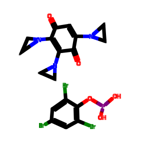 O=C1C=C(N2CC2)C(=O)C(N2CC2)=C1N1CC1.OP(O)Oc1c(Br)cc(Br)cc1Br